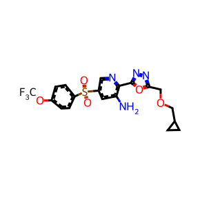 Nc1cc(S(=O)(=O)c2ccc(OC(F)(F)F)cc2)cnc1-c1nnc(COCC2CC2)o1